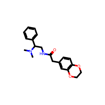 CN(C)C(CNC(=O)Cc1ccc2c(c1)OCCO2)c1ccccc1